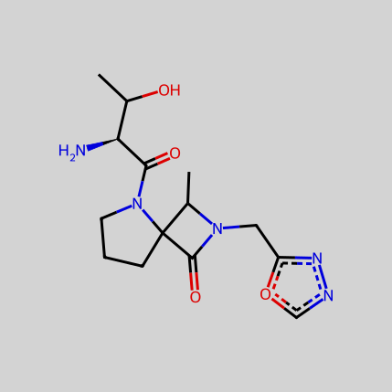 CC(O)[C@H](N)C(=O)N1CCCC12C(=O)N(Cc1nnco1)C2C